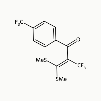 CSC(SC)=C(C(=O)c1ccc(C(F)(F)F)cc1)C(F)(F)F